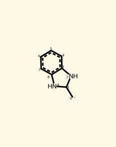 [CH2]C1Nc2ccccc2N1